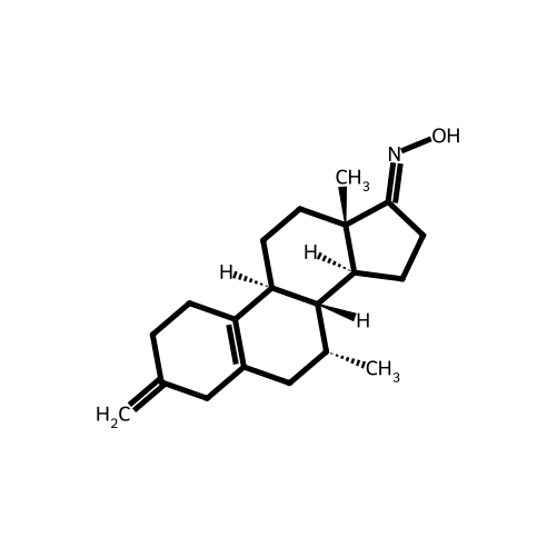 C=C1CCC2=C(C1)C[C@@H](C)[C@@H]1[C@@H]2CC[C@]2(C)C(=NO)CC[C@@H]12